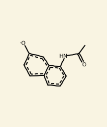 CC(=O)Nc1cccc2ccc([O])cc12